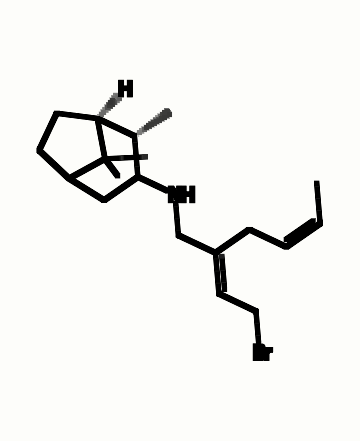 C/C=C\C/C(=C\CBr)CNC1CC2CC[C@@H]([C@@H]1C)C2(C)C